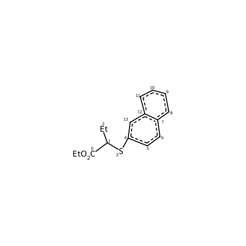 CCOC(=O)C(CC)Sc1ccc2ccccc2c1